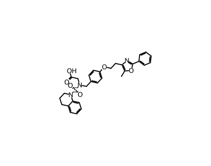 Cc1oc(-c2ccccc2)nc1CCOc1ccc(CN(CC(=O)O)S(=O)(=O)N2CCCc3ccccc32)cc1